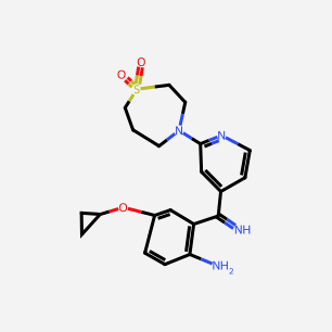 N=C(c1ccnc(N2CCCS(=O)(=O)CC2)c1)c1cc(OC2CC2)ccc1N